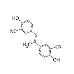 C/C(=C\c1ccc(O)c(C#N)c1)c1ccc(O)c(C#N)c1